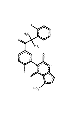 CC(C)(C(=O)c1ccc(F)c(-n2c(=O)[nH]c3csc(C(=O)O)c3c2=O)c1)c1ccccc1F